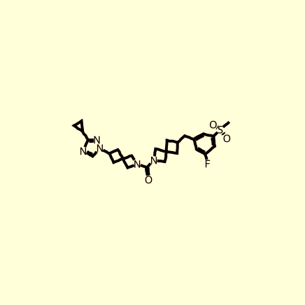 CS(=O)(=O)c1cc(F)cc(CC2CC3(C2)CN(C(=O)N2CC4(CC(n5cnc(C6CC6)n5)C4)C2)C3)c1